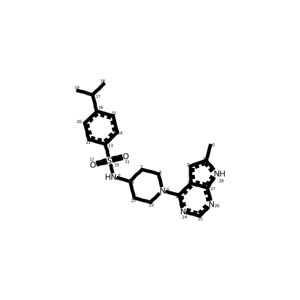 Cc1cc2c(N3CCC(NS(=O)(=O)c4ccc(C(C)C)cc4)CC3)ncnc2[nH]1